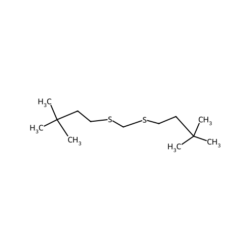 CC(C)(C)CCSCSCCC(C)(C)C